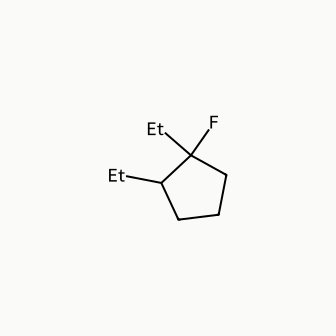 CCC1CCCC1(F)CC